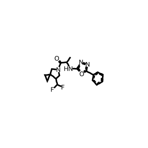 CC(Nc1nnc(-c2ccccc2)o1)C(=O)N1CC(C(F)F)C2(CC2)C1